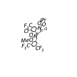 COC(=O)N(Cc1cc(C(F)(F)F)cc(C(F)(F)F)c1)[C@H]1C[C@@H](C2CC2)N(C(=O)OC(C)C)c2cc(C(F)(F)F)c(Cl)cc21